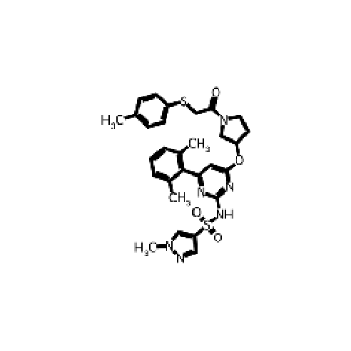 Cc1ccc(SCC(=O)N2CCC(Oc3cc(-c4c(C)cccc4C)nc(NS(=O)(=O)c4cnn(C)c4)n3)C2)cc1